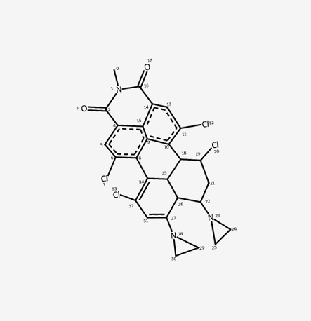 CN1C(=O)c2cc(Cl)c3c4c(c(Cl)cc(c24)C1=O)C1C(Cl)CC(N2CC2)C2C(N4CC4)=CC(Cl)=C3C21